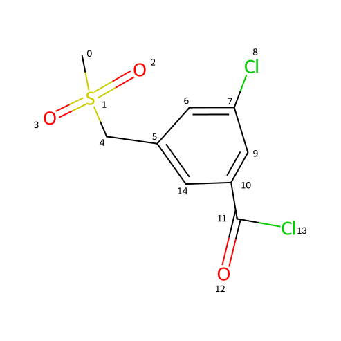 CS(=O)(=O)Cc1cc(Cl)cc(C(=O)Cl)c1